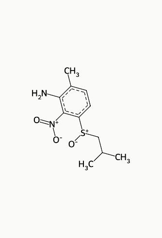 Cc1ccc([S+]([O-])CC(C)C)c([N+](=O)[O-])c1N